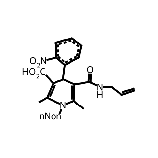 C=CCNC(=O)C1=C(C)N(CCCCCCCCC)C(C)=C(C(=O)O)C1c1ccccc1[N+](=O)[O-]